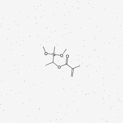 C=C(C)C(=O)OC(C)[Si](C)(OC)OC